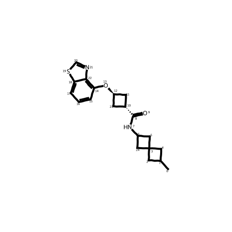 CC1CC2(C1)CC(NC(=O)[C@H]1C[C@H](Oc3cccc4scnc34)C1)C2